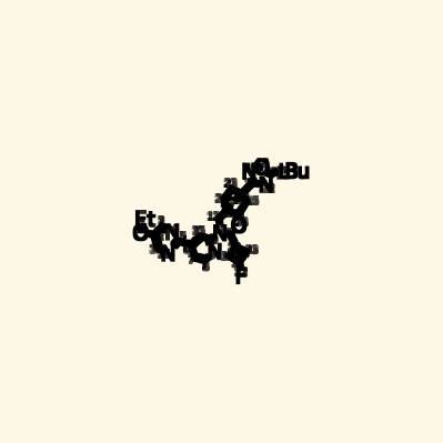 CCOc1cnc(-c2ccnc(N(CC34CCC(c5noc(C(C)(C)C)n5)(CC3)CC4)C(=O)C34CC(F)(C3)C4)c2)nc1